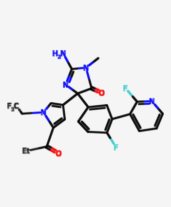 CCC(=O)c1cc(C2(c3ccc(F)c(-c4cccnc4F)c3)N=C(N)N(C)C2=O)cn1CC(F)(F)F